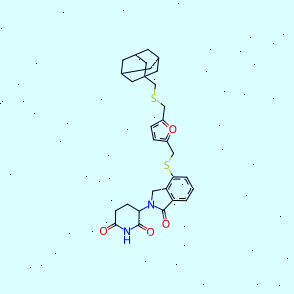 O=C1CCC(N2Cc3c(SCc4ccc(CSCC56CC7CC(CC(C7)C5)C6)o4)cccc3C2=O)C(=O)N1